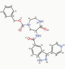 O=C(NC1CN(C(=O)OCc2ccccc2)CCNC1=O)c1ccc2[nH]nc(-c3ccncc3)c2c1